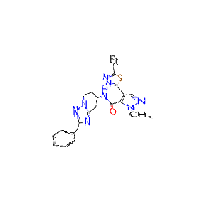 CCc1nnc(-c2cnn(C)c2C(=O)NC2CCn3nc(-c4ccccc4)nc3C2)s1